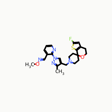 CO/N=C/c1cccnc1-n1cc(CN2CCC3(CC2)OCCc2cc(F)sc23)c(C)n1